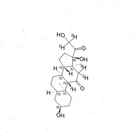 [2H]C([2H])(O)C(=O)[C@@]1(O)CC[C@H]2[C@@H]3CC[C@@H]4C[C@H](O)CC[C@]4(C)[C@@]3([2H])C(=O)C([2H])([2H])[C@@]21C